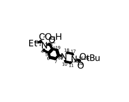 CCC(C(=O)O)N1Cc2ccc(N3CCN(C(=O)OC(C)(C)C)CC3)cc2C1=O